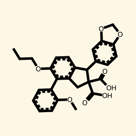 CCCOc1ccc2c(c1-c1ccccc1OC)CC(C(=O)O)(C(=O)O)C2c1ccc2c(c1)OCO2